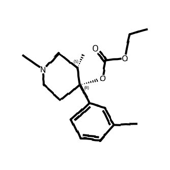 CCOC(=O)O[C@]1(c2cccc(C)c2)CCN(C)C[C@@H]1C